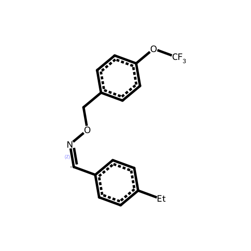 CCc1ccc(/[C]=N\OCc2ccc(OC(F)(F)F)cc2)cc1